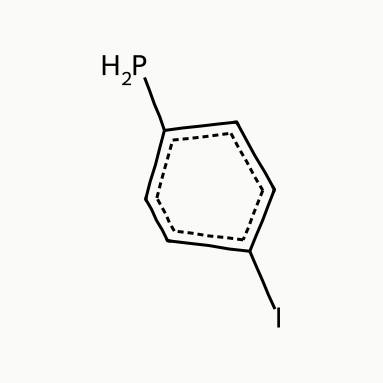 Pc1ccc(I)cc1